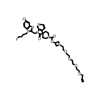 C#CCOCCOCCOCCOCCN1CC(OC(=O)N2CCC3(CC2)C(=O)N(Cc2nc4cc(Cl)ccc4n2CCCCF)c2cnccc23)C1